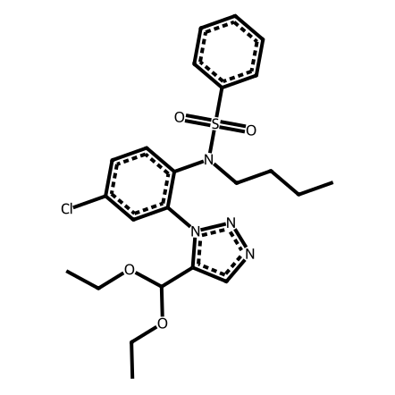 CCCCN(c1ccc(Cl)cc1-n1nncc1C(OCC)OCC)S(=O)(=O)c1ccccc1